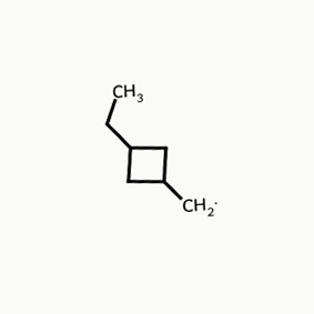 [CH2]C1CC(CC)C1